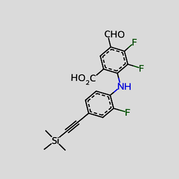 C[Si](C)(C)C#Cc1ccc(Nc2c(C(=O)O)cc(C=O)c(F)c2F)c(F)c1